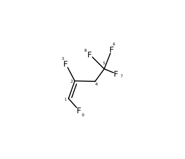 F/C=C(/F)CC(F)(F)F